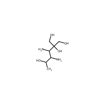 CC(O)C(N)C(N)C(O)(CO)CO